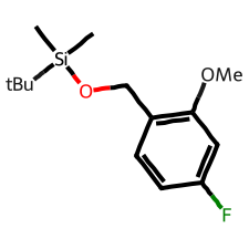 COc1cc(F)ccc1CO[Si](C)(C)C(C)(C)C